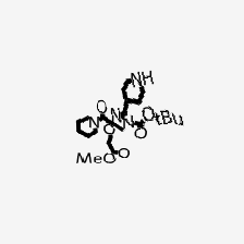 COC(=O)CCOC1(C(=O)N2CCCCC2)CN(C(=O)OC(C)(C)C)C(C2CCNCC2)=N1